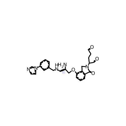 N/C(=C\NCc1cccc(-n2ccnc2)c1)COc1cccc2c1CN(C(C=O)CCC=O)C2=O